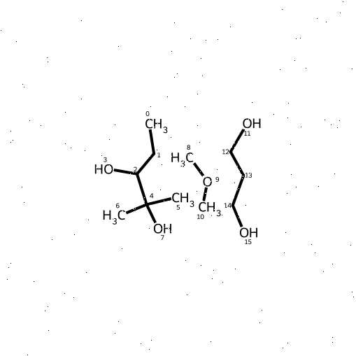 CCC(O)C(C)(C)O.COC.OCCCO